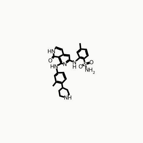 Cc1ccc(S(N)(=O)=O)c(Nc2cc3cc[nH]c(=O)c3c(Nc3ccc(C4CCNCC4)c(C)c3)n2)c1